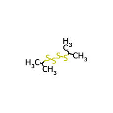 CC(C)SSSSC(C)C